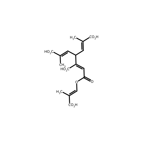 CC(=COC(=O)C=C(C(=O)O)C(C=C(C)C(=O)O)C=C(C)C(=O)O)C(=O)O